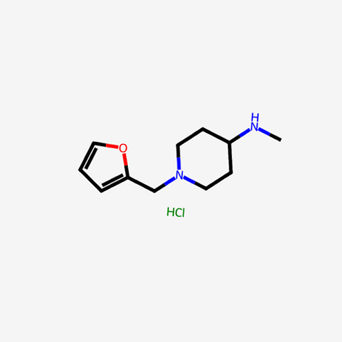 CNC1CCN(Cc2ccco2)CC1.Cl